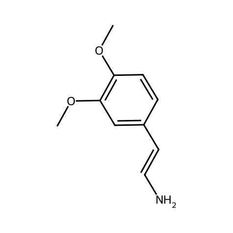 COc1ccc(C=CN)cc1OC